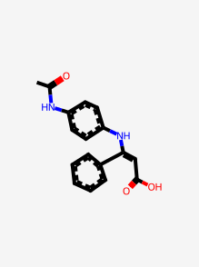 CC(=O)Nc1ccc(NC(=CC(=O)O)c2ccccc2)cc1